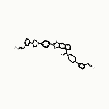 NCc1cccc(C2CCN(C(=O)c3cccc4cc5c(cc34)OB(c3c[c]c(N4CCC(c6cccc(CN)c6)CC4)cc3)O5)CC2)c1